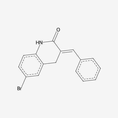 O=C1Nc2ccc(Br)cc2CC1=Cc1ccccc1